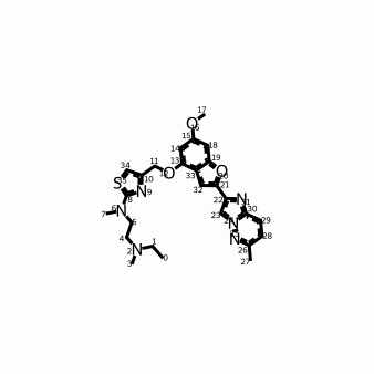 CCN(C)CCN(C)c1nc(COc2cc(OC)cc3oc(-c4cn5nc(C)ccc5n4)cc23)cs1